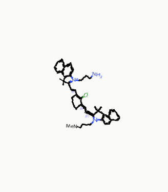 CNCCCN1/C(=C/C=C2\CCCC(/C=C/C3=[N+](CCCN)c4ccc5ccccc5c4C3(C)C)=C2Cl)C(C)(C)c2c1ccc1ccccc21